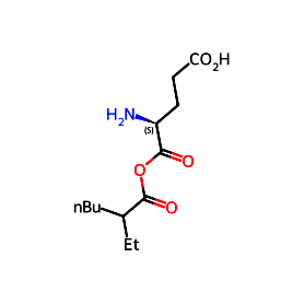 CCCCC(CC)C(=O)OC(=O)[C@@H](N)CCC(=O)O